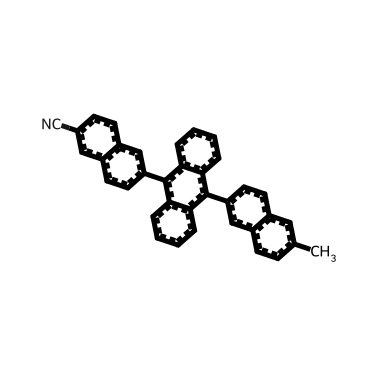 Cc1ccc2cc(-c3c4ccccc4c(-c4ccc5cc(C#N)ccc5c4)c4ccccc34)ccc2c1